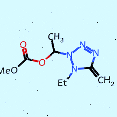 C=C1N=NN(C(C)OC(=O)OC)N1CC